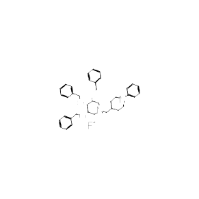 FC[C@@H]1[C@@H](OCc2ccccc2)[C@H](OCc2ccccc2)[C@@H](OCc2ccccc2)CN1CC1CCN(c2ccccc2)CC1